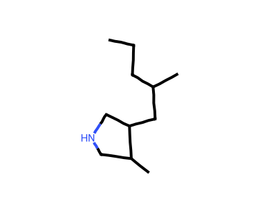 CCCC(C)CC1CNCC1C